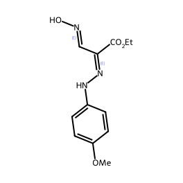 CCOC(=O)C(/C=N/O)=N/Nc1ccc(OC)cc1